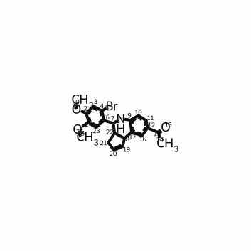 COc1cc(Br)c(C2Nc3ccc(C(C)=O)cc3C3C=CCC32)cc1OC